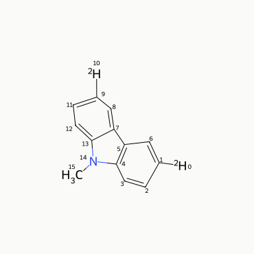 [2H]c1ccc2c(c1)c1cc([2H])ccc1n2C